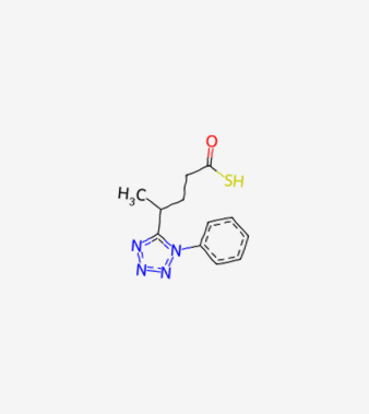 CC(CCC(=O)S)c1nnnn1-c1ccccc1